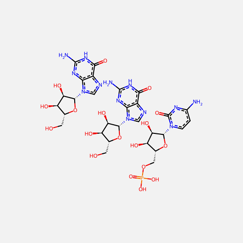 Nc1ccn([C@@H]2O[C@H](COP(=O)(O)O)[C@@H](O)[C@H]2O)c(=O)n1.Nc1nc2c(ncn2[C@@H]2O[C@H](CO)[C@@H](O)[C@H]2O)c(=O)[nH]1.Nc1nc2c(ncn2[C@@H]2O[C@H](CO)[C@@H](O)[C@H]2O)c(=O)[nH]1